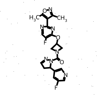 Cc1noc(C)c1-c1ncc(F)c(OC2CN(C(=O)N3N=CCC3c3cncc(F)c3)C2)n1